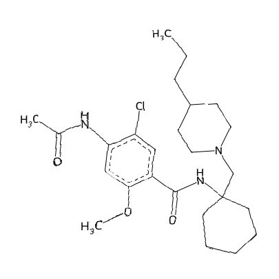 CCCC1CCN(CC2(NC(=O)c3cc(Cl)c(NC(C)=O)cc3OC)CCCCC2)CC1